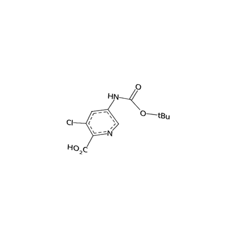 CC(C)(C)OC(=O)Nc1cnc(C(=O)O)c(Cl)c1